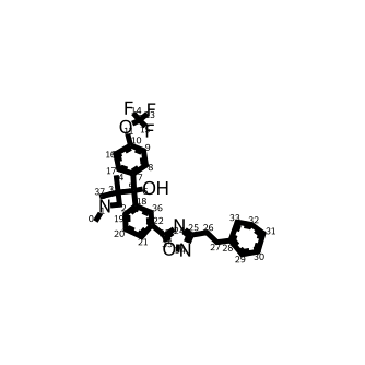 CN1CC(C)(C(O)(c2ccc(OC(F)(F)F)cc2)c2cccc(-c3nc(CCc4ccccc4)no3)c2)C1